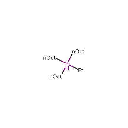 CCCCCCCC[PH](CC)(CCCCCCCC)CCCCCCCC